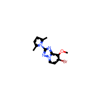 COc1c(Br)ccn2nc(-n3c(C)ccc3C)nc12